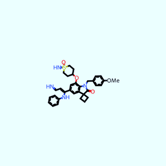 COc1ccc(CN2C(=O)C3(CCC3)c3cc(/C(=C/C=N)Nc4ccccc4)cc(OC4CCS(=N)(=O)CC4)c32)cc1